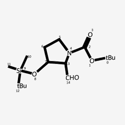 CC(C)(C)OC(=O)N1CCC(O[Si](C)(C)C(C)(C)C)C1C=O